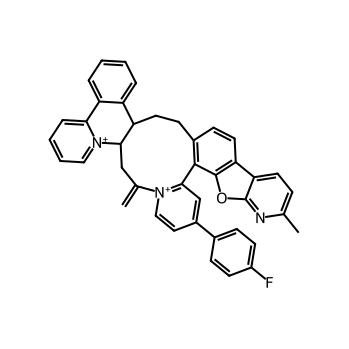 C=C1CC2C(CCc3ccc4c(oc5nc(C)ccc54)c3-c3cc(-c4ccc(F)cc4)cc[n+]31)c1ccccc1-c1cccc[n+]12